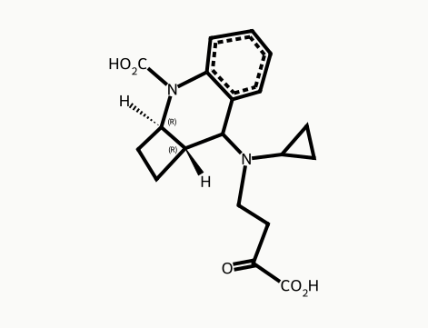 O=C(O)C(=O)CCN(C1CC1)C1c2ccccc2N(C(=O)O)[C@@H]2CC[C@@H]12